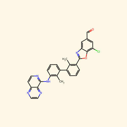 Cc1c(Nc2nccc3nccnc23)cccc1-c1cccc(-c2nc3cc(C=O)cc(Cl)c3o2)c1C